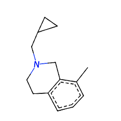 Cc1cccc2c1CN(CC1CC1)CC2